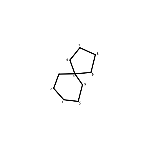 [CH]1CCCC2(C1)CCCC2